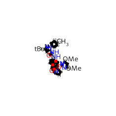 COc1cc(OC)nc(Oc2ccccc2C(=O)N2C3CCC2CC(Cc2ccc(NC(=O)Nc4cc(C(C)(C)C)nn4-c4ccc(C)cc4)cc2)C3)n1